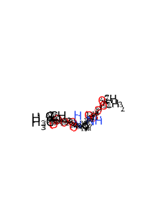 C=C(C)C(=O)OCCOCCOC(=O)NCC1CCCC(CNC(=O)OCCOCCOC(=O)C(C)(C)C)C1